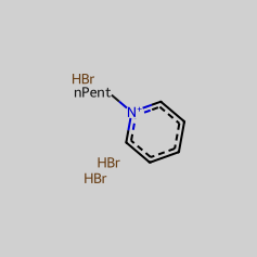 Br.Br.Br.CCCCC[n+]1ccccc1